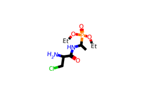 CCOP(=O)(OCC)C(C)NC(=O)C(N)CCl